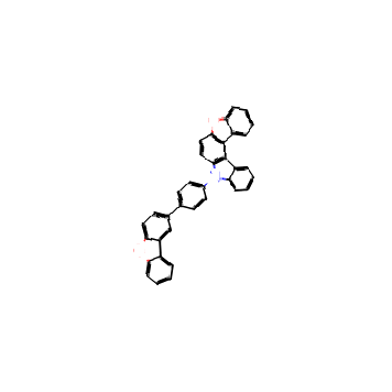 c1ccc2c(c1)oc1ccc(-c3ccc(-n4c5ccccc5c5c6c(ccc54)oc4ccccc46)cc3)cc12